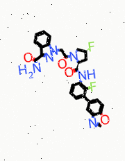 NC(=O)c1nn(CC(=O)N2C[C@H](F)C[C@H]2C(=O)Nc2cccc(-c3ccc4ocnc4c3)c2F)c2ccccc12